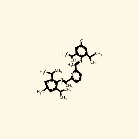 C/C(=N\c1c(C(C)C)cc(C)cc1C(C)C)c1cccc(/C(C)=N/c2c(C(C)C)cc(Cl)cc2C(C)C)n1